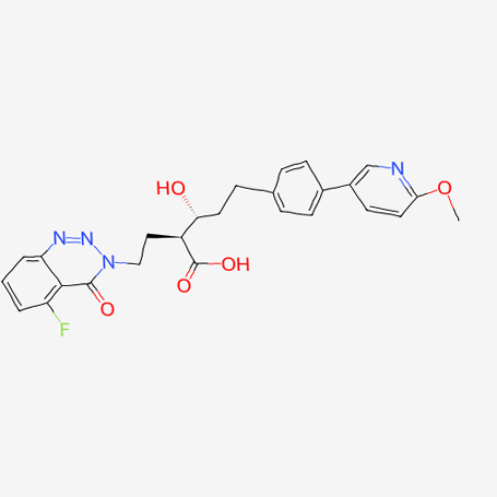 COc1ccc(-c2ccc(CC[C@@H](O)[C@H](CCn3nnc4cccc(F)c4c3=O)C(=O)O)cc2)cn1